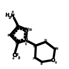 Nc1cc(C(F)(F)F)n(C2CCOCC2)n1